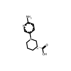 Nc1ccc(N2CCC[C@@H](C(=O)O)C2)cn1